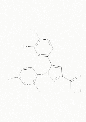 CCCCCCCCC(=O)c1cc(-c2ccc(C#N)c(P)c2)n(-c2ccc(C(C)C)cc2F)n1